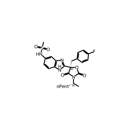 CCCCC[C@@H](C)N1C(=O)O[C@](Cc2ccc(F)cc2)(c2nc3cc(NS(C)(=O)=O)ccc3[nH]2)C1=O